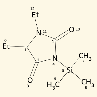 CCC1C(=O)N([Si](C)(C)C)C(=O)N1CC